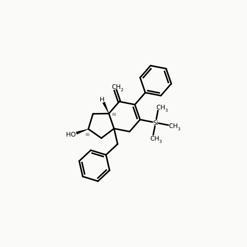 C=C1C(c2ccccc2)=C([Si](C)(C)C)CC2(Cc3ccccc3)C[C@@H](O)C[C@H]12